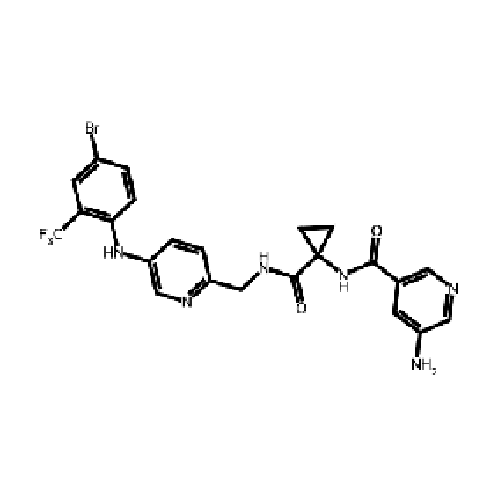 Nc1cncc(C(=O)NC2(C(=O)NCc3ccc(Nc4ccc(Br)cc4C(F)(F)F)cn3)CC2)c1